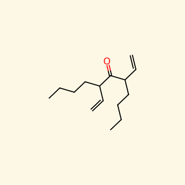 C=CC(CCCC)C(=O)C(C=C)CCCC